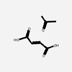 CC(C)=O.O=C(O)C=CC(=O)O